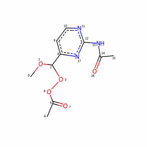 COC(OOC(C)=O)c1ccnc(NC(C)=O)n1